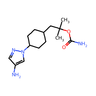 CC(C)(CC1CCC(n2cc(N)cn2)CC1)OC(N)=O